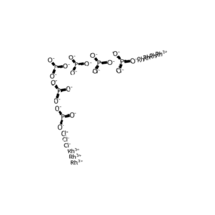 [Cl-].[Cl-].[Cl-].[O-]P([O-])[O-].[O-]P([O-])[O-].[O-]P([O-])[O-].[O-]P([O-])[O-].[O-]P([O-])[O-].[O-]P([O-])[O-].[Rh+3].[Rh+3].[Rh+3].[Rh+3].[Rh+3].[Rh+3].[Rh+3]